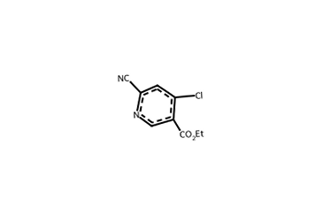 CCOC(=O)c1cnc(C#N)cc1Cl